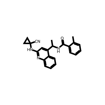 Cc1ccccc1C(=O)NC(C)c1cc(NC2(C#N)CC2)nc2ccccc12